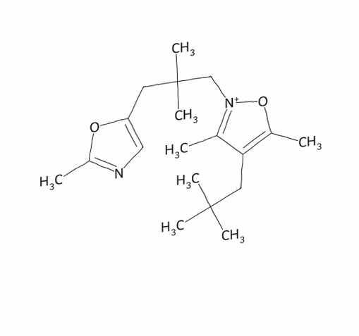 Cc1ncc(CC(C)(C)C[n+]2oc(C)c(CC(C)(C)C)c2C)o1